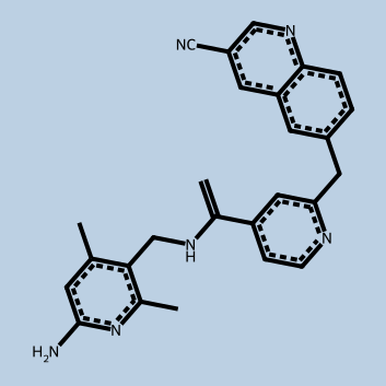 C=C(NCc1c(C)cc(N)nc1C)c1ccnc(Cc2ccc3ncc(C#N)cc3c2)c1